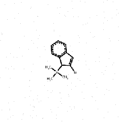 [Li][C]1=Cc2ccccc2C1[Si](C)(C)C